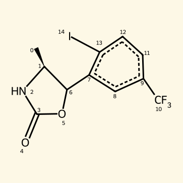 C[C@@H]1NC(=O)OC1c1cc(C(F)(F)F)ccc1I